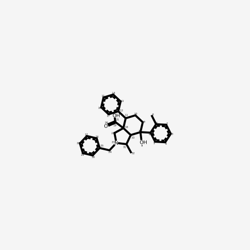 Cc1ccccc1C1(O)CCC(c2ccccc2)C2(C(=O)O)CN(Cc3ccccc3)C(C)C12